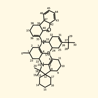 CC1CC2=C3B(C4=C5C(CCC4)C4(CCCCC4)C(C)(C)N5C3C1)C1CC(C(C)(C)C)=CCC1N2C1=CCCC2C1OC1C=CC=CC12